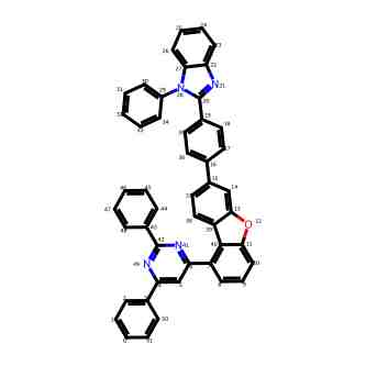 c1ccc(-c2cc(-c3cccc4oc5cc(-c6ccc(-c7nc8ccccc8n7-c7ccccc7)cc6)ccc5c34)nc(-c3ccccc3)n2)cc1